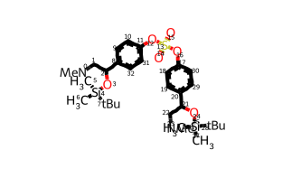 CNCC(O[Si](C)(C)C(C)(C)C)c1ccc(OS(=O)(=O)Oc2ccc(C(CNC)O[Si](C)(C)C(C)(C)C)cc2)cc1